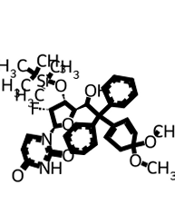 COC1(OC)C=CC(C(c2ccccc2)(c2ccccc2)C(O)[C@H]2O[C@@H](n3ccc(=O)[nH]c3=O)[C@H](F)[C@@H]2O[Si](C)(C)C(C)(C)C)=CC1